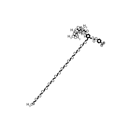 COCCOCCOCCOCCOCCOCCOCCOCCOCCOCCOCCOCCOCCOCCOCCOCCOCCc1cc(NC(=O)[C@H](C)NC(=O)[C@@H](NC(=O)OC(C)(C)C)C(C)C)ccc1COC(=O)Oc1ccc([N+](=O)[O-])cc1